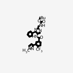 Cn1ccc(-c2cc(C(=O)Nc3cnc(CNC(=O)OC(C)(C)C)nc3-c3ccccc3)ccc2C(F)(F)F)n1